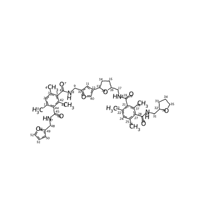 Cc1cc(C)c(C(=O)NCc2cc(C3CCC(CNC(=O)c4c(C)cc(C)c(C(=O)NCC5CCCO5)c4C)O3)co2)c(C)c1C(=O)NCc1ccco1